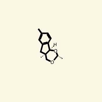 Cc1ccc2c(c1)C[C@]1(C)CO[C@@H](C)O[C@H]21